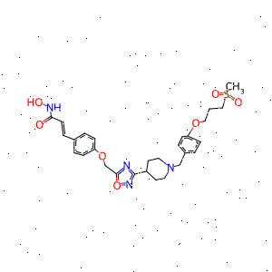 CS(=O)(=O)CCCOc1ccc(CN2CCC(c3noc(COc4ccc(C=CC(=O)NO)cc4)n3)CC2)cc1